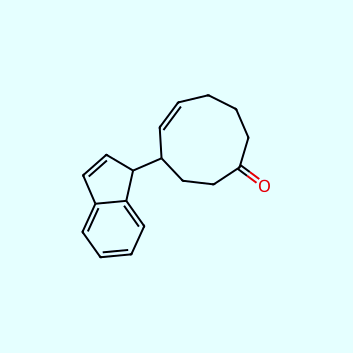 O=C1CCCC=CC(C2C=Cc3ccccc32)CC1